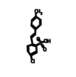 Cc1ccc(C=Cc2ccc(Cl)cc2S(=O)(=O)O)cc1